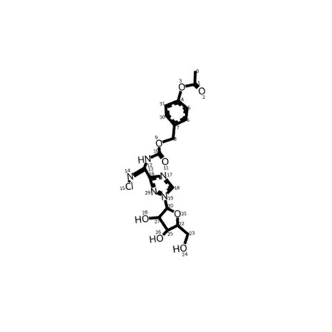 CC(=O)Oc1ccc(COC(=O)N/C(=N/Cl)c2ncn(C3OC(CO)C(O)C3O)n2)cc1